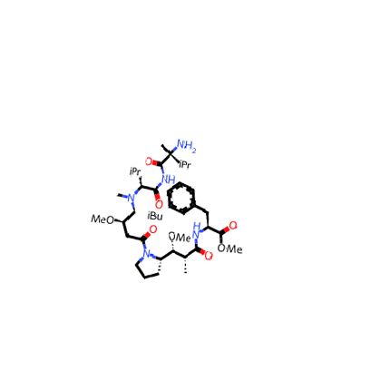 CC[C@H](C)[C@@H]([C@@H](CC(=O)N1CCC[C@H]1[C@H](OC)[C@@H](C)C(=O)N[C@@H](Cc1ccccc1)C(=O)OC)OC)N(C)[C@H](C(=O)NC(=O)[C@](C)(N)C(C)C)C(C)C